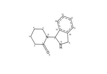 O=C1CCCCN1C1NCc2ccccc21